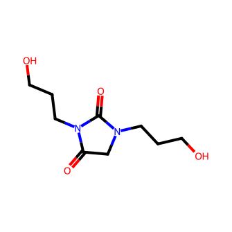 O=C1CN(CCCO)C(=O)N1CCCO